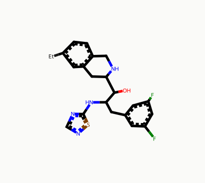 CCc1ccc2c(c1)CC(C(O)C(Cc1cc(F)cc(F)c1)Nc1ncns1)NC2